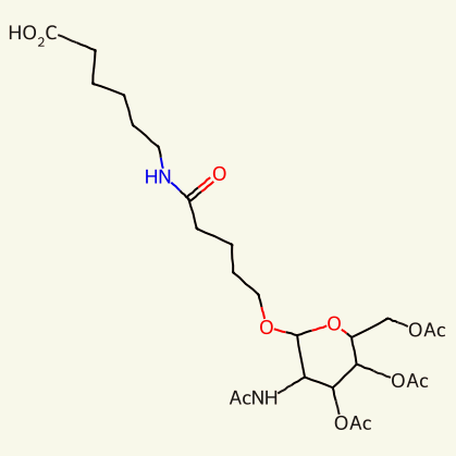 CC(=O)NC1C(OCCCCC(=O)NCCCCCC(=O)O)OC(COC(C)=O)C(OC(C)=O)C1OC(C)=O